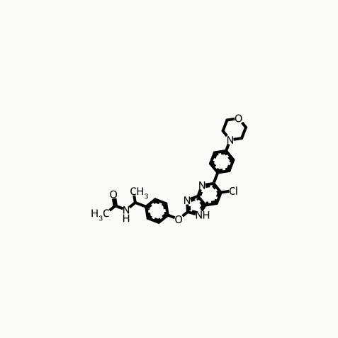 CC(=O)NC(C)c1ccc(Oc2nc3nc(-c4ccc(N5CCOCC5)cc4)c(Cl)cc3[nH]2)cc1